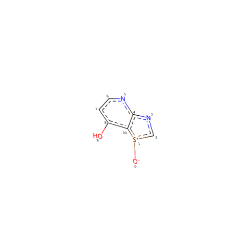 [O-][s+]1cnc2nccc(O)c21